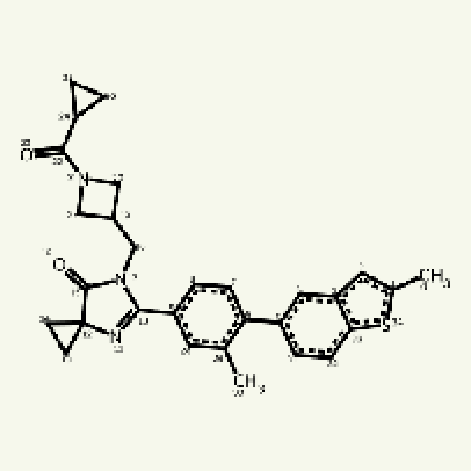 Cc1cc2cc(-c3ccc(C4=NC5(CC5)C(=O)N4CC4CN(C(=O)C5CC5)C4)cc3C)ccc2s1